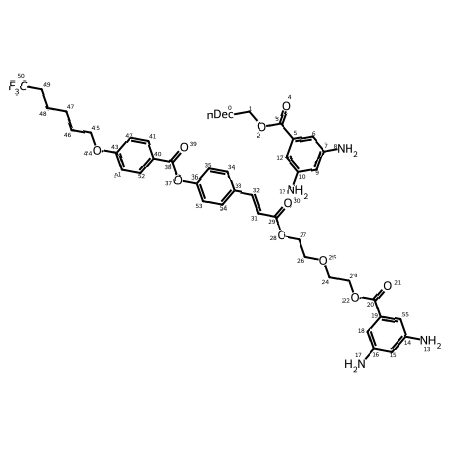 CCCCCCCCCCCOC(=O)c1cc(N)cc(N)c1.Nc1cc(N)cc(C(=O)OCCOCCOC(=O)C=Cc2ccc(OC(=O)c3ccc(OCCCCCC(F)(F)F)cc3)cc2)c1